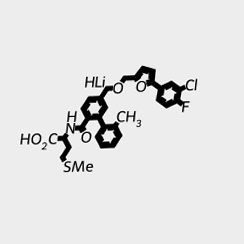 CSCCC(NC(=O)c1ccc(COCc2ccc(-c3ccc(F)c(Cl)c3)o2)cc1-c1ccccc1C)C(=O)O.[LiH]